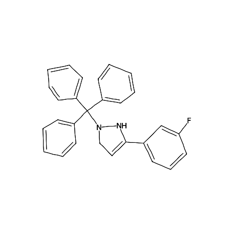 Fc1cccc(C2=CCN(C(c3ccccc3)(c3ccccc3)c3ccccc3)N2)c1